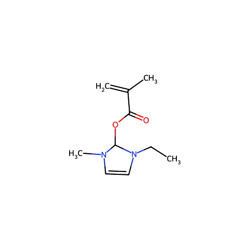 C=C(C)C(=O)OC1N(C)C=CN1CC